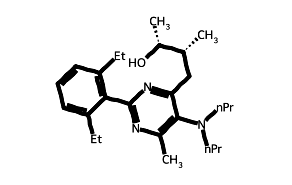 CCCN(CCC)c1c(C)nc(-c2c(CC)cccc2CC)nc1C[C@@H](C)[C@@H](C)O